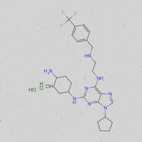 Cl.Cl.Cl.NC1CCC(Nc2nc(NCCNCc3ccc(C(F)(F)F)cc3)c3ncn(C4CCCC4)c3n2)CC1